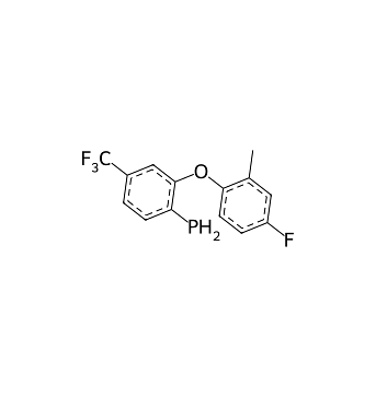 Cc1cc(F)ccc1Oc1cc(C(F)(F)F)ccc1P